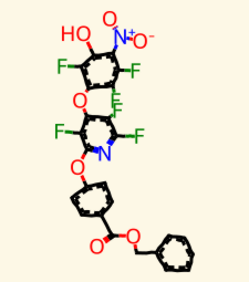 O=C(OCc1ccccc1)c1ccc(Oc2nc(F)c(F)c(Oc3c(F)c(O)c([N+](=O)[O-])c(F)c3F)c2F)cc1